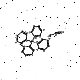 Cc1ccccc1[P+](c1ccccc1)(c1ccccc1)c1ccccc1.N#C[S-]